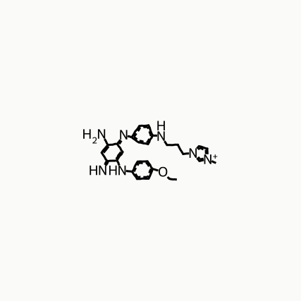 CCOc1ccc(NC2=CC(=Nc3ccc(NCCCn4cc[n+](C)c4)cc3)C(N)=CC2=N)cc1